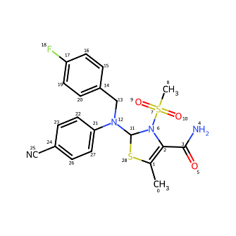 CC1=C(C(N)=O)N(S(C)(=O)=O)C(N(Cc2ccc(F)cc2)c2ccc(C#N)cc2)S1